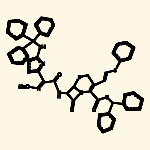 CON=C(C(=O)NC1C(=O)N2C(C(=O)OC(c3ccccc3)c3ccccc3)=C(C=CSc3ccccc3)CSC12)c1csc(NC(c2ccccc2)(c2ccccc2)c2ccccc2)n1